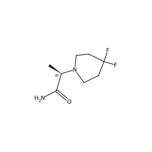 C[C@H](C(N)=O)N1CCC(F)(F)CC1